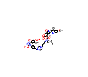 CCOc1ccc2nc3c(c(CC)c2c1)Cn1c-3cc2c(c1=O)COC(=O)C2(CC)OC(=O)N(C)CCCCN1CCN(Cc2ccc(-n3c(O)nnc3-c3cc(C(C)C)c(O)cc3O)cc2)CC1